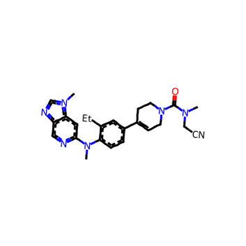 CCc1cc(C2=CCN(C(=O)N(C)CC#N)CC2)ccc1N(C)c1cc2c(cn1)ncn2C